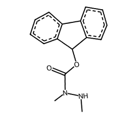 CNN(C)C(=O)OC1c2ccccc2-c2ccccc21